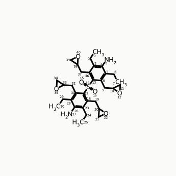 CCc1c(N)c(CC)c(CC2CO2)c(S(=O)(=O)c2c(CC3CO3)c(CC)c(N)c(CC)c2CC2CO2)c1CC1CO1